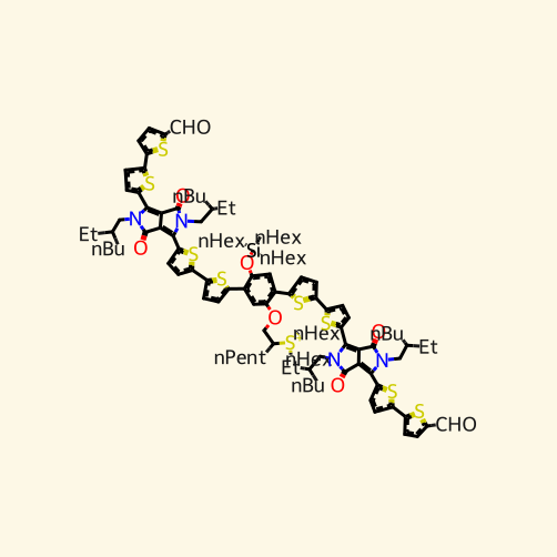 CCCCCC[S+](CCCCCC)C(CCCCC)COc1cc(-c2ccc(-c3ccc(C4=C5C(=O)N(CC(CC)CCCC)C(c6ccc(-c7ccc(C=O)s7)s6)=C5C(=O)N4CC(CC)CCCC)s3)s2)c(O[Si](CCCCCC)(CCCCCC)CCCCCC)cc1-c1ccc(-c2ccc(C3=C4C(=O)N(CC(CC)CCCC)C(c5ccc(-c6ccc(C=O)s6)s5)=C4C(=O)N3CC(CC)CCCC)s2)s1